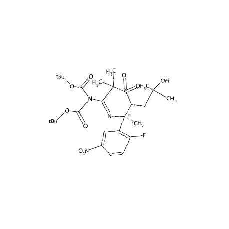 CC(C)(O)CC1[C@@](C)(c2cc([N+](=O)[O-])ccc2F)N=C(N(C(=O)OC(C)(C)C)C(=O)OC(C)(C)C)C(C)(C)S1(=O)=O